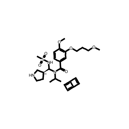 COCCCOc1cc(C(=O)N(C(C)C)C(NS(C)(=O)=O)[C@H]2CCNC2)ccc1OC.c1cc2ccc1-2